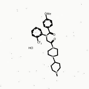 COc1ccc(C(=O)N(CC(=O)N2CCN(C3CCN(C)CC3)CC2)c2ccccc2C(F)(F)F)cc1.Cl